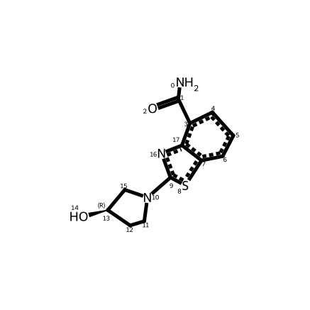 NC(=O)c1[c]ccc2sc(N3CC[C@@H](O)C3)nc12